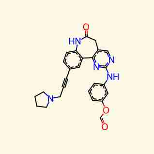 O=COc1cccc(Nc2ncc3c(n2)-c2cc(C#CCN4CCCC4)ccc2NC(=O)C3)c1